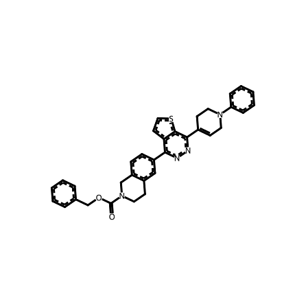 O=C(OCc1ccccc1)N1CCc2cc(-c3nnc(C4=CCN(c5ccccc5)CC4)c4sccc34)ccc2C1